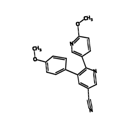 COc1ccc(-c2cc(C#N)cnc2-c2ccc(OC)nc2)cc1